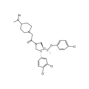 CC(=O)N(C)C1CCN(CC(=O)N2C[C@@H]([C@@H](C)Oc3ccc(Cl)cc3)[C@H](c3ccc(Cl)c(Cl)c3)C2)CC1